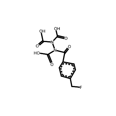 O=C(O)N(C(=O)O)N(C(=O)O)C(=O)c1ccc(CF)cc1